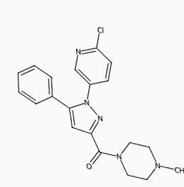 CN1CCN(C(=O)c2cc(-c3ccccc3)n(-c3ccc(Cl)nc3)n2)CC1